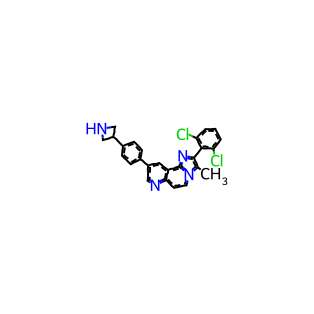 Cc1c(-c2c(Cl)cccc2Cl)nc2c3cc(-c4ccc(C5CNC5)cc4)cnc3ccn12